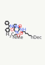 CCCCCCCCCCCCCCCC(=O)N[C@H]1CN(C(=O)[C@@H](C)NC)CC[C@]2(C(=O)NC(c3ccccc3)c3ccccc3)CCCN2C1=O